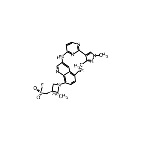 Cc1nn(C)cc1-c1nccc(Nc2cnc3c(N4C[C@H](CS(=O)(=O)F)[C@H]4C)ccc(C(C)C)c3c2)n1